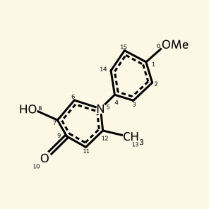 COc1ccc(-n2cc(O)c(=O)cc2C)cc1